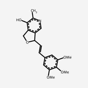 COc1cc(C=CC2OCc3c2cnc(C)c3O)cc(OC)c1OC